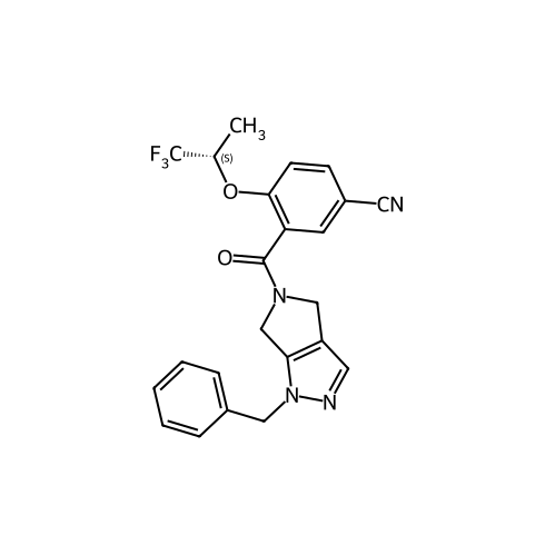 C[C@H](Oc1ccc(C#N)cc1C(=O)N1Cc2cnn(Cc3ccccc3)c2C1)C(F)(F)F